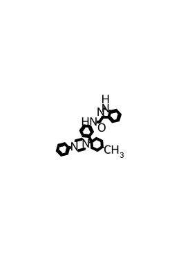 C[C@H]1CC[C@](c2cccc(NC(=O)c3n[nH]c4ccccc34)c2)(N2CCN(c3ccccc3)CC2)CC1